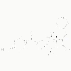 CC(=O)O[C@@H]1N2C(=O)/C(=C/c3ccccn3)[C@H]2S(=O)(=O)[C@@]1(C)COC(=O)N1CCN(C)CC1